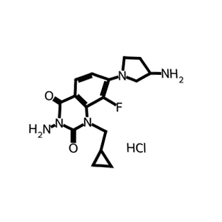 Cl.NC1CCN(c2ccc3c(=O)n(N)c(=O)n(CC4CC4)c3c2F)C1